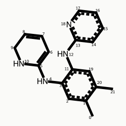 Cc1cc(NC2=CC=CCN2)c(Nc2ccccn2)cc1C